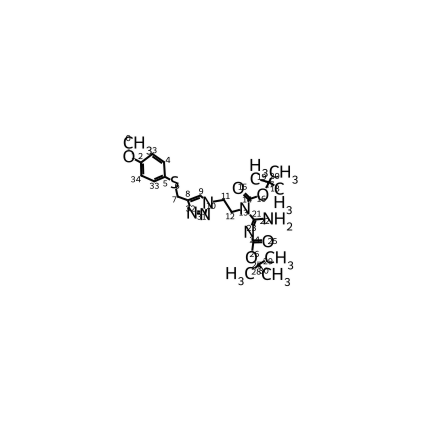 COc1ccc(SCc2cn(CCN(C(=O)OC(C)(C)C)C(N)=NC(=O)OC(C)(C)C)nn2)cc1